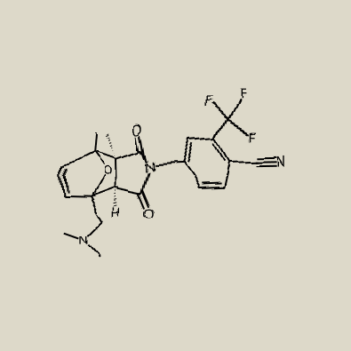 CN(C)CC12C=CC(C)(O1)[C@@]1(C)C(=O)N(c3ccc(C#N)c(C(F)(F)F)c3)C(=O)[C@@H]21